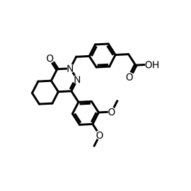 COc1ccc(C2=NN(Cc3ccc(CC(=O)O)cc3)C(=O)C3CCCCC23)cc1OC